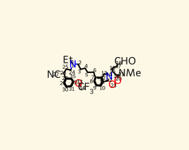 CCN(CCCCCc1cccc2c1CN(C(CCC=O)C(=O)NC)C2=O)CC[C@@H](C#N)c1cccc(OC(F)(F)F)c1